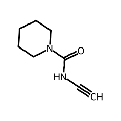 C#CNC(=O)N1CCCCC1